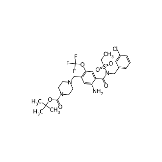 CCS(=O)(=O)N(Cc1cccc(Cl)c1)C(=O)c1cc(OC(F)(F)F)c(CN2CCN(C(=O)OC(C)(C)C)CC2)cc1N